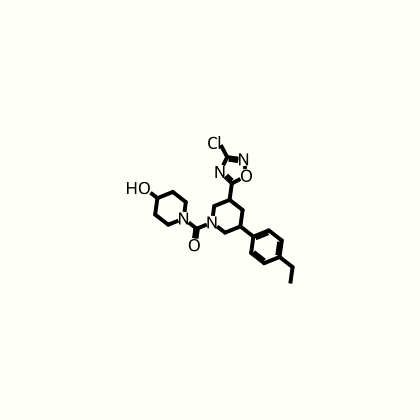 CCc1ccc(C2CC(c3nc(Cl)no3)CN(C(=O)N3CCC(O)CC3)C2)cc1